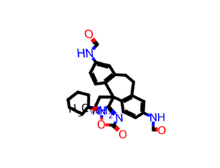 C[C@H](N)CC1(c2nc(=O)on2C2CCCCC2)c2ccc(NC=O)cc2CCc2cc(NC=O)ccc21